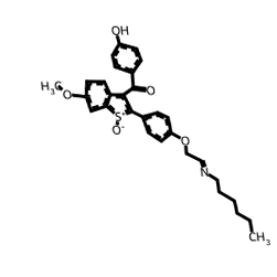 CCCCCCN=CCOc1ccc(-c2c(C(=O)c3ccc(O)cc3)c3ccc(OC)cc3[s+]2[O-])cc1